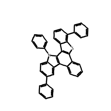 c1ccc(-c2ccc3c(c2)c2c4ccccc4c4sc5c(-c6ccccc6)cccc5c4c2n3-c2ccccc2)cc1